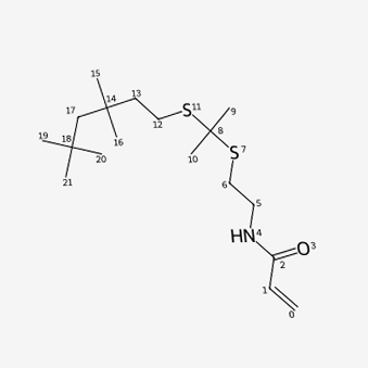 C=CC(=O)NCCSC(C)(C)SCCC(C)(C)CC(C)(C)C